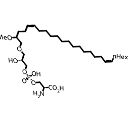 CCCCCC/C=C\CCCCCCCCCCCC/C=C\CCC(COC[C@@H](O)COP(=O)(O)OC[C@H](N)C(=O)O)OC